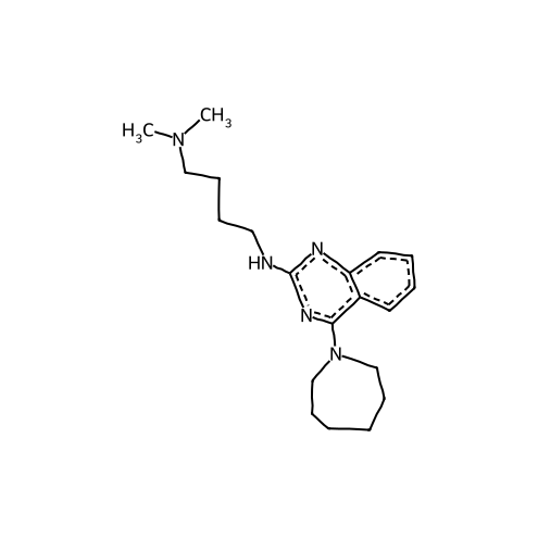 CN(C)CCCCNc1nc(N2CCCCCC2)c2ccccc2n1